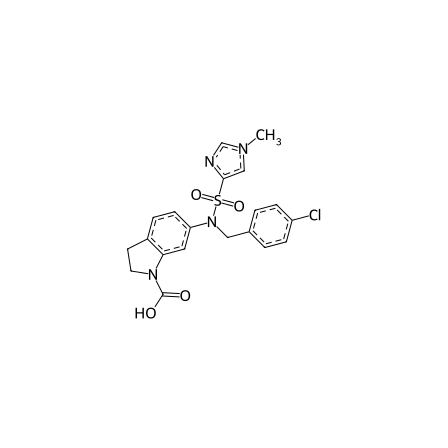 Cn1cnc(S(=O)(=O)N(Cc2ccc(Cl)cc2)c2ccc3c(c2)N(C(=O)O)CC3)c1